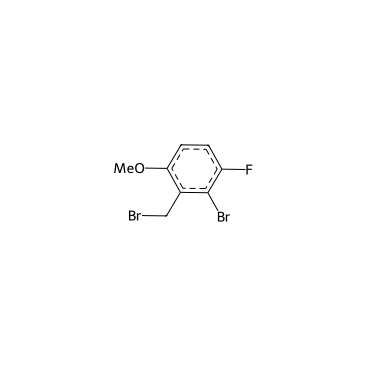 COc1ccc(F)c(Br)c1CBr